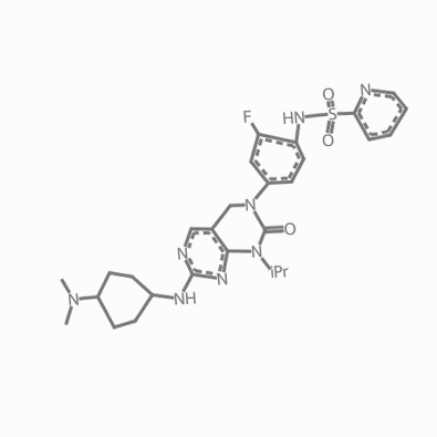 CC(C)N1C(=O)N(c2ccc(NS(=O)(=O)c3ccccn3)c(F)c2)Cc2cnc(NC3CCC(N(C)C)CC3)nc21